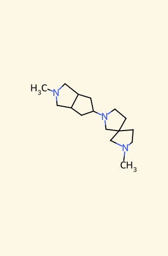 CN1CC2CC(N3CCC4(CCN(C)C4)C3)CC2C1